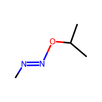 CN=NOC(C)C